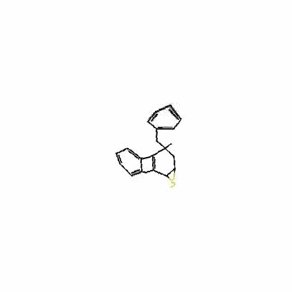 CC1(Cc2ccccc2)CC2SC2C2=C1c1ccccc12